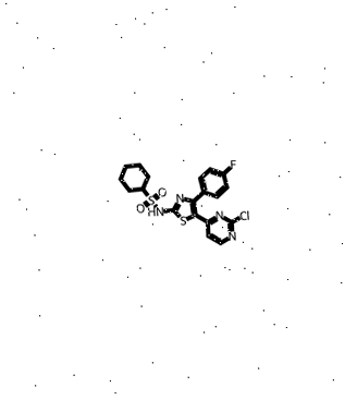 O=S(=O)(Nc1nc(-c2ccc(F)cc2)c(-c2ccnc(Cl)n2)s1)C1CCCCC1